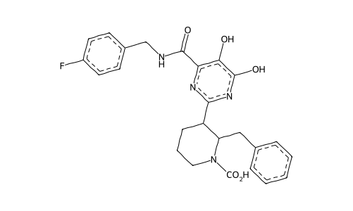 O=C(NCc1ccc(F)cc1)c1nc(C2CCCN(C(=O)O)C2Cc2ccccc2)nc(O)c1O